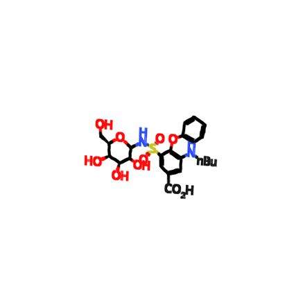 CCCCNc1cc(C(=O)O)cc(S(=O)(=O)NC2O[C@H](CO)[C@H](O)[C@H](O)C2O)c1Oc1ccccc1